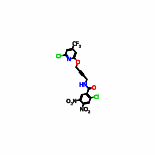 O=C(NCC#CCOc1cc(C(F)(F)F)cc(Cl)n1)c1cc([N+](=O)[O-])c([N+](=O)[O-])cc1Cl